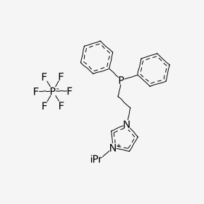 CC(C)[n+]1ccn(CCP(c2ccccc2)c2ccccc2)c1.F[P-](F)(F)(F)(F)F